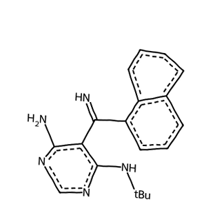 CC(C)(C)Nc1ncnc(N)c1C(=N)c1cccc2ccccc12